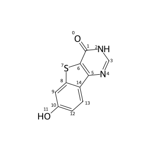 O=c1[nH]cnc2c1sc1cc(O)ccc12